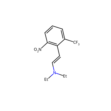 CCN(/C=C/c1c([N+](=O)[O-])cccc1C(F)(F)F)CC